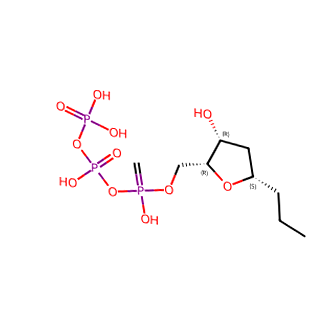 C=P(O)(OC[C@H]1O[C@@H](CCC)C[C@H]1O)OP(=O)(O)OP(=O)(O)O